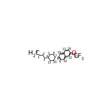 C=CCC[C@H]1CC[C@H](c2ccc3cc(OC(F)(F)F)ccc3c2)CC1